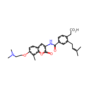 CC(C)=CCc1cc(C(=O)Nc2cc3ccc(OCCN(C)C)c(C)c3oc2=O)ccc1CC(=O)O